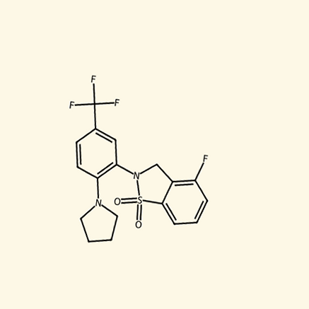 O=S1(=O)c2cccc(F)c2CN1c1cc(C(F)(F)F)ccc1N1CCCC1